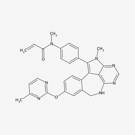 C=CC(=O)N(C)c1ccc(-c2c3c4c(ncnc4n2C)NCc2cc(Oc4nccc(C)n4)ccc2-3)cc1